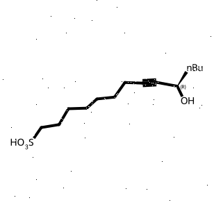 CCCC[C@@H](O)C#CCCCCCCCS(=O)(=O)O